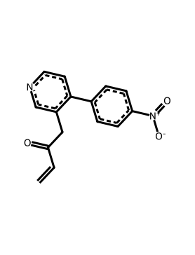 C=CC(=O)Cc1cnccc1-c1ccc([N+](=O)[O-])cc1